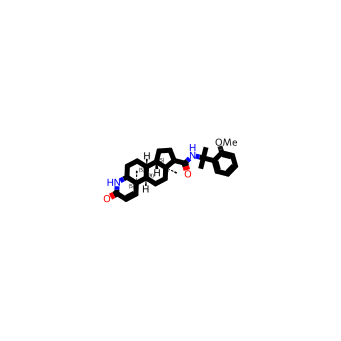 COc1ccccc1C(C)(C)NC(=O)C1CC[C@H]2[C@@H]3CCC4NC(=O)C=C[C@]4(C)[C@@H]3CC[C@]12C